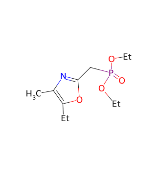 CCOP(=O)(Cc1nc(C)c(CC)o1)OCC